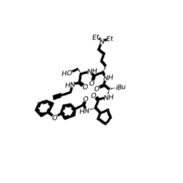 C#CCNC(=O)[C@H](CO)NC(=O)[C@H](CCCCN(CC)CC)NC(=O)[C@@H](NC(=O)[C@@H](NC(=O)c1ccc(Oc2ccccc2)cc1)C1CCCC1)[C@@H](C)CC